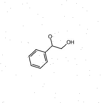 [O]C(CO)c1ccccc1